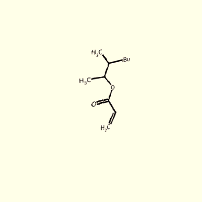 C=CC(=O)OC(C)C(C)C(C)CC